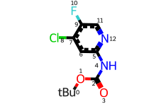 CC(C)(C)OC(=O)Nc1cc(Cl)c(F)cn1